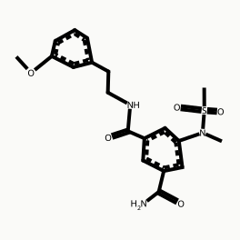 COc1cccc(CCNC(=O)c2cc(C(N)=O)cc(N(C)S(C)(=O)=O)c2)c1